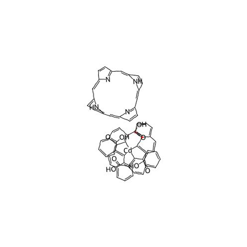 C1=Cc2cc3ccc(cc4nc(cc5ccc(cc1n2)[nH]5)C=C4)[nH]3.O=C(O)c1ccc2ccccc2[c]1[Cd]([c]1c(C(=O)O)ccc2ccccc12)([c]1c(C(=O)O)ccc2ccccc12)[c]1c(C(=O)O)ccc2ccccc12